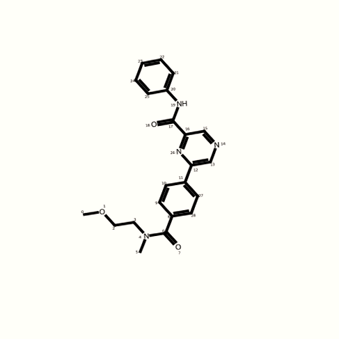 COCCN(C)C(=O)c1ccc(-c2cncc(C(=O)Nc3ccccc3)n2)cc1